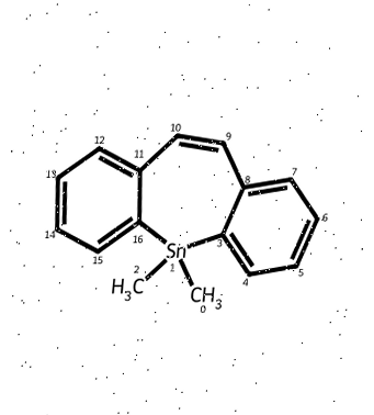 [CH3][Sn]1([CH3])[c]2ccccc2C=Cc2cccc[c]21